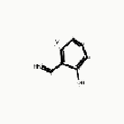 N=Cc1ccccc1O.[V]